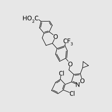 O=C(O)c1ccc2c(c1)CCC(c1ccc(OCc3c(-c4c(Cl)cccc4Cl)noc3C3CC3)cc1C(F)(F)F)O2